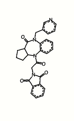 O=C1c2ccccc2C(=O)N1CC(=O)N1c2ccccc2N(Cc2cccnc2)C(=O)C2CCCC21